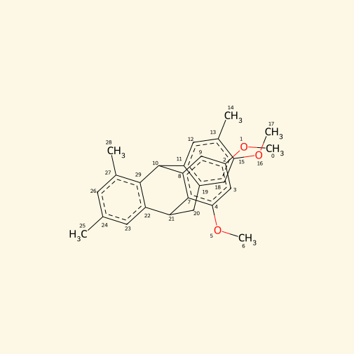 COc1cc(OC)c2c(c1)C1c3cc(C)c(OC)cc3CC2c2cc(C)cc(C)c21